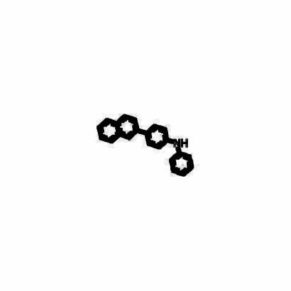 [c]1c(-c2ccc(Nc3ccccc3)cc2)ccc2ccccc12